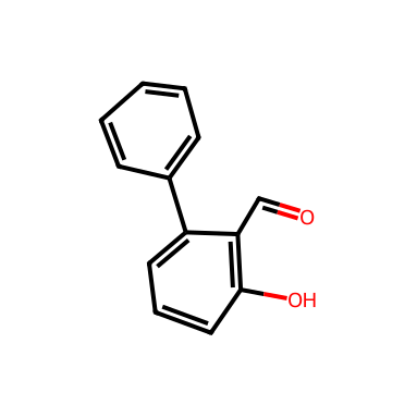 O=Cc1c(O)cccc1-c1ccccc1